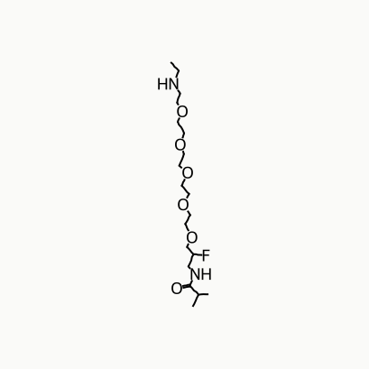 CCNCCOCCOCCOCCOCCOCC(F)CNC(=O)C(C)C